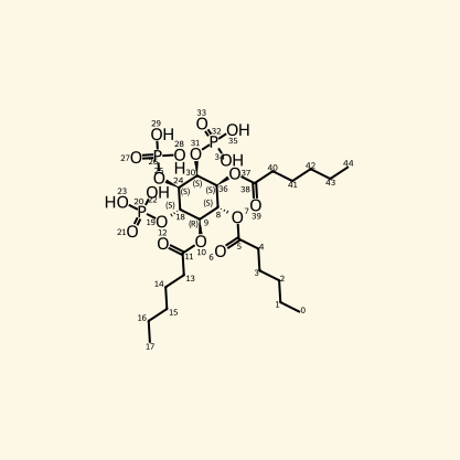 CCCCCC(=O)O[C@@H]1[C@@H](OC(=O)CCCCC)[C@H](OP(=O)(O)O)[C@@H](OP(=O)(O)O)[C@@H](OP(=O)(O)O)[C@H]1OC(=O)CCCCC